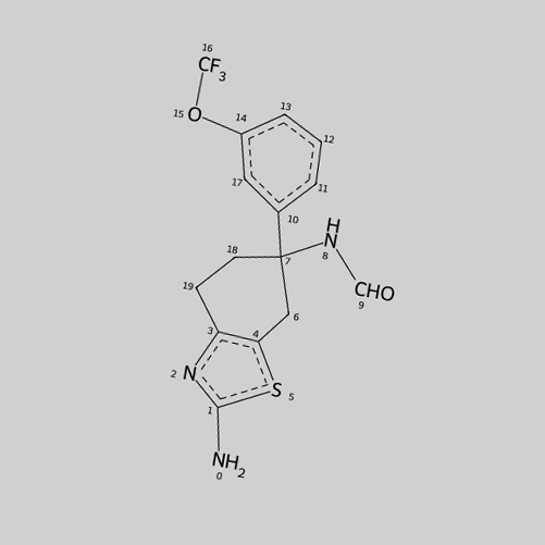 Nc1nc2c(s1)CC(NC=O)(c1cccc(OC(F)(F)F)c1)CC2